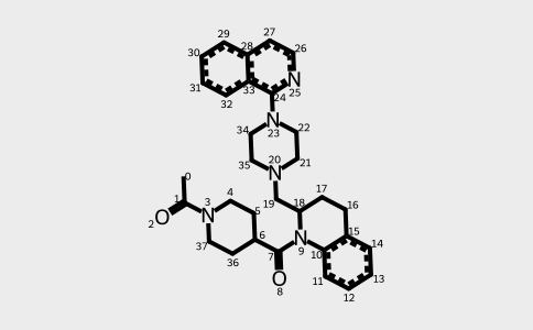 CC(=O)N1CCC(C(=O)N2c3ccccc3CCC2CN2CCN(c3nccc4ccccc34)CC2)CC1